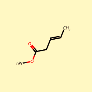 C/C=C/CC(=O)OCCC